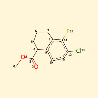 COC(=O)C1CCCc2c1ccc(Cl)c2F